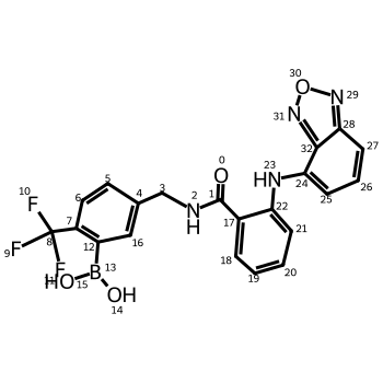 O=C(NCc1ccc(C(F)(F)F)c(B(O)O)c1)c1ccccc1Nc1cccc2nonc12